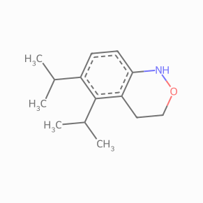 CC(C)c1ccc2c(c1C(C)C)CCON2